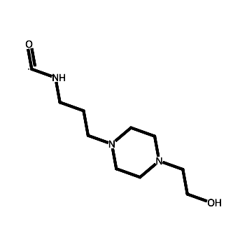 O=[C]NCCCN1CCN(CCO)CC1